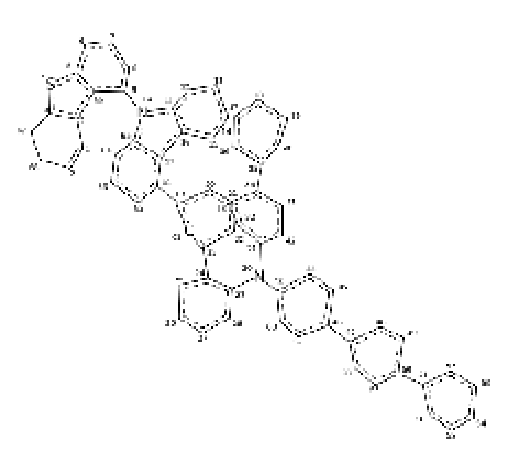 C1=Cc2c(sc3cccc(-n4c5ccccc5c5c(-c6cccc(-c7ccccc7N(c7ccc(-c8ccccc8)cc7)c7ccc(-c8ccc(-c9ccccc9)cc8)cc7)c6)cccc54)c23)CC1